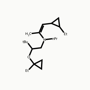 CCCN(CC(OC1(CC)CC1)C(C)(C)C)/C(C)=C\C1CC1CC